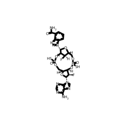 NC(=O)c1cccc2c1nnn2[C@@H]1O[C@@H]2COP(=O)(S)O[C@H]3[C@@H](F)[C@H](n4cnc5c(N)ncnc54)O[C@@H]3COP(=O)(S)O[C@@H]1[C@@H]2F